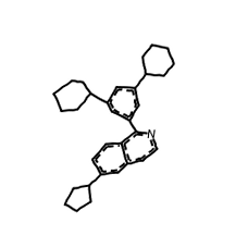 c1cc2cc(C3CCCC3)ccc2c(-c2cc(C3CCCCC3)cc(C3CCCCC3)c2)n1